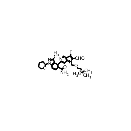 Cc1nn(C2CCCCO2)c2ccc(C(N)=O)c(-c3cc4c(cn3)c(F)c(C=O)n4COCC[Si](C)(C)C)c12